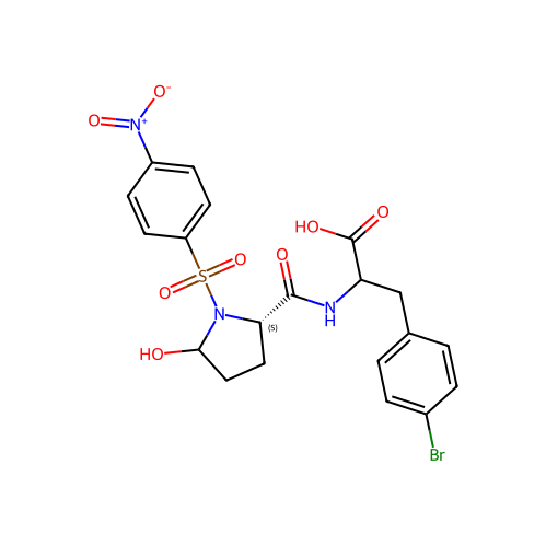 O=C(O)C(Cc1ccc(Br)cc1)NC(=O)[C@@H]1CCC(O)N1S(=O)(=O)c1ccc([N+](=O)[O-])cc1